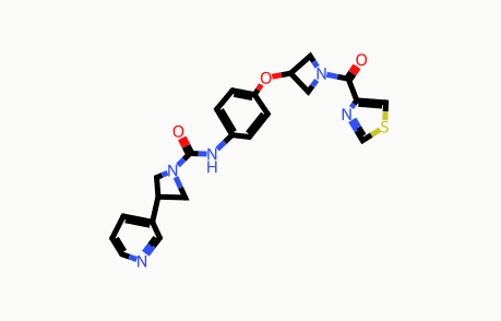 O=C(Nc1ccc(OC2CN(C(=O)c3cscn3)C2)cc1)N1CC(c2cccnc2)C1